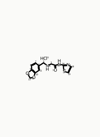 Cl.O=C(CNCc1ccc2c(c1)OCO2)Nc1nccs1